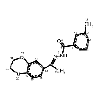 CC(=NNC(=O)c1cccc(C)c1)c1ccc2c(c1)OCCO2